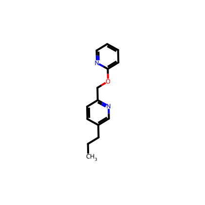 CCCc1ccc(COc2ccccn2)nc1